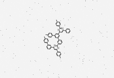 Cc1ccc(-c2cccc(-c3cc(-c4ccc(C)cc4)nc(-c4cccc(-c5cc(-c6ccc(C)cc6)cc(-c6cc(-c7ccccc7)nc(-c7ccc(C)cc7)n6)c5)c4)n3)c2)cc1